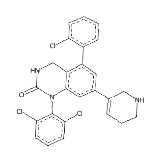 O=C1NCc2c(-c3ccccc3Cl)cc(C3=CCCNC3)cc2N1c1c(Cl)cccc1Cl